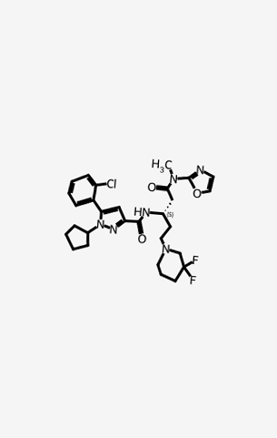 CN(C(=O)C[C@H](CCN1CCCC(F)(F)C1)NC(=O)c1cc(-c2ccccc2Cl)n(C2CCCC2)n1)c1ncco1